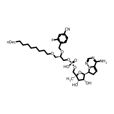 CCCCCCCCCCCCCCCCCCOC[C@H](COP(=O)(O)OC[C@@]1(C)O[C@@H](C2CC=C3C(N)=NC=NN32)[C@H](O)[C@@H]1O)OCc1ccc(C#N)cc1F